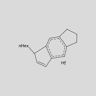 CCCCCC[C]1C=Cc2cc3c(cc21)CCC3.[Hf]